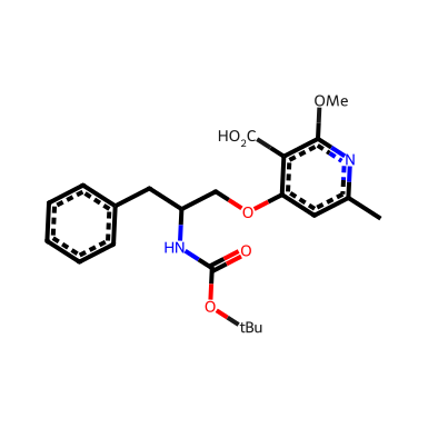 COc1nc(C)cc(OCC(Cc2ccccc2)NC(=O)OC(C)(C)C)c1C(=O)O